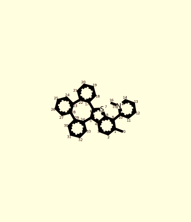 Cc1ccc2c3c(sc2c1-c1cccc[n+]1C)-c1ccccc1-c1ccccc1-c1ccccc1-3